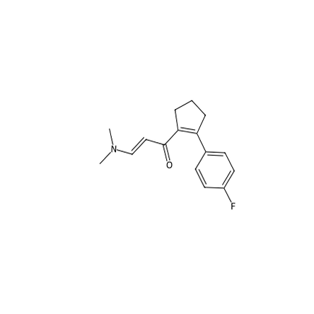 CN(C)C=CC(=O)C1=C(c2ccc(F)cc2)CCC1